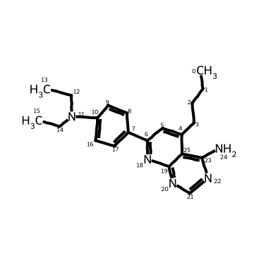 CCCCc1cc(-c2ccc(N(CC)CC)cc2)nc2ncnc(N)c12